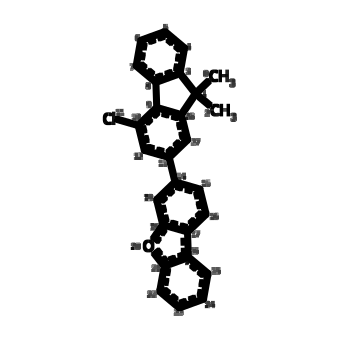 CC1(C)c2ccccc2-c2c(Cl)cc(-c3ccc4c(c3)oc3ccccc34)cc21